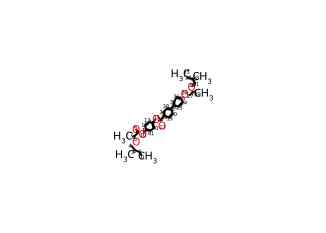 CC[C@H](C)CO[C@@H](C)C(=O)Oc1ccc(OC(=O)c2ccc(-c3ccc(OC[C@H](C)OC[C@@H](C)CC)cc3)cc2)cc1